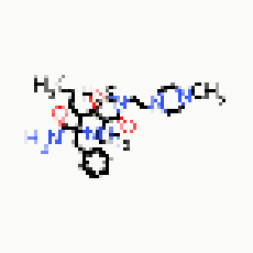 CCCC(C(=O)C(C)C(=O)N(C)CCN1CCN(C)CC1)C(N)(Cc1ccccc1)C(N)=O